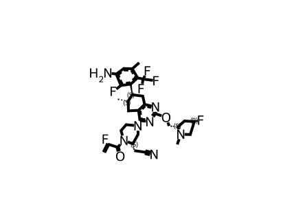 C=C(F)C(=O)N1CCN(c2nc(OC[C@@H]3C[C@@H](F)CN3C)nc3c2C[C@H](C)[C@@H](c2c(F)c(N)cc(C)c2C(F)(F)F)C3)C[C@@H]1CC#N